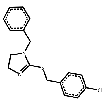 Clc1ccc(CSC2=NCCN2Cc2ccccc2)cc1